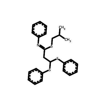 CC(C)CSC(CC(Sc1ccccc1)Sc1ccccc1)=Nc1ccccc1